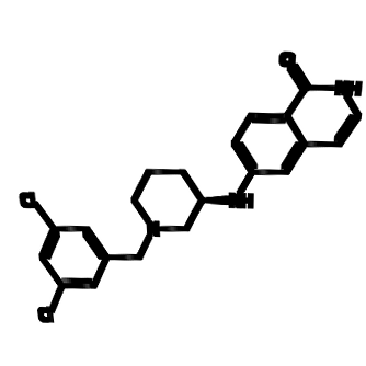 O=c1[nH]ccc2cc(N[C@@H]3CCCN(Cc4cc(Cl)cc(Cl)c4)C3)ccc12